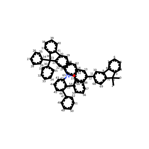 CC1(C)c2ccccc2-c2cc(-c3ccc(N(c4ccc5c(c4)C(c4ccccc4)(c4ccccc4)c4ccccc4-5)c4cccc(-c5ccccc5)c4-c4ccccc4-c4ccccc4)cc3)ccc21